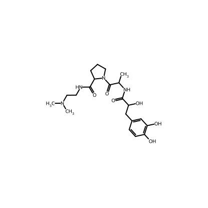 CC(NC(=O)C(O)Cc1ccc(O)c(O)c1)C(=O)N1CCCC1C(=O)NCCN(C)C